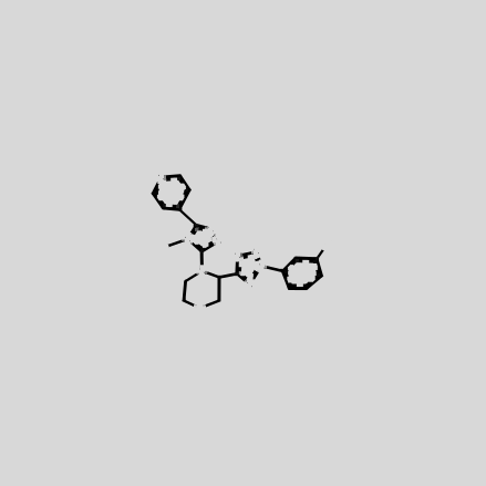 Cn1c(-c2ccncc2)nnc1N1CCOCC1c1nnn(-c2cccc(Cl)c2)n1